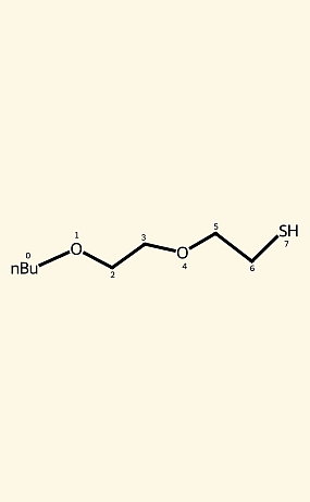 CCCCOCCOCCS